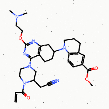 C=CC(=O)N1CCN(c2nc(OCCN(C)C)nc3c2CCC(N2CCCc4cc(C(=O)OC)ccc42)C3)CC1CC#N